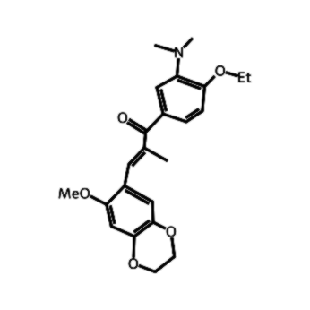 CCOc1ccc(C(=O)/C(C)=C/c2cc3c(cc2OC)OCCO3)cc1N(C)C